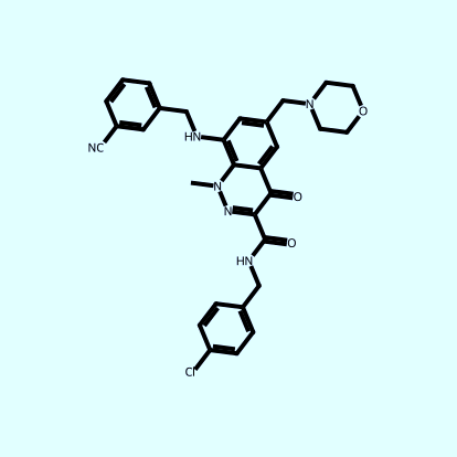 Cn1nc(C(=O)NCc2ccc(Cl)cc2)c(=O)c2cc(CN3CCOCC3)cc(NCc3cccc(C#N)c3)c21